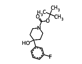 CC(C)(C)OC(=O)N1CCC(O)(c2cccc(F)c2)CC1